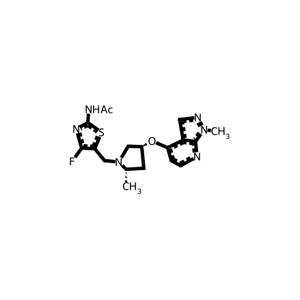 CC(=O)Nc1nc(F)c(CN2C[C@H](Oc3ccnc4c3cnn4C)C[C@@H]2C)s1